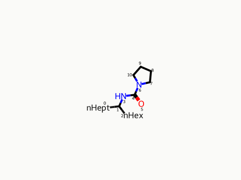 CCCCCCCC(CCCCCC)NC(=O)N1CCCC1